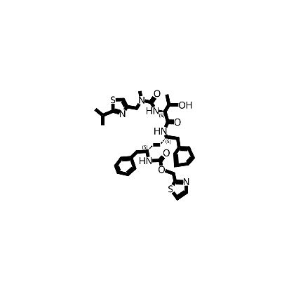 CC(C)c1nc(CN(C)C(=O)N[C@H](C(=O)N[C@@H](CC[C@@H](Cc2ccccc2)NC(=O)OCc2nccs2)Cc2ccccc2)C(C)O)cs1